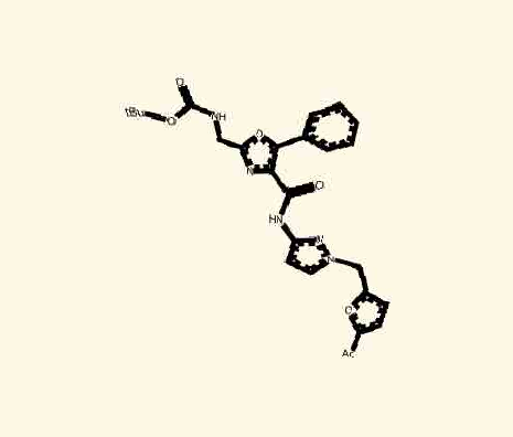 CC(=O)c1ccc(Cn2ccc(NC(=O)c3nc(CNC(=O)OC(C)(C)C)oc3-c3ccccc3)n2)o1